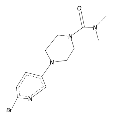 CN(C)C(=O)N1CCN(c2ccc(Br)nc2)CC1